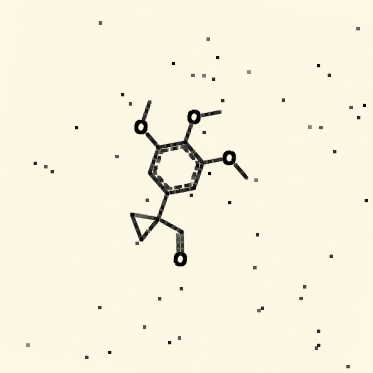 COc1cc(C2(C=O)CC2)cc(OC)c1OC